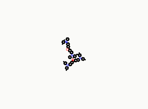 Cc1ccc(N(c2ccc(C)cc2)c2ccc3cc4c(cc3c2)oc2cc3cc(N(c5ccc(C)cc5)c5ccc(C)c(Cc6ccc(C)c(N(c7ccccc7)c7ccc8cc9c(cc8c7)oc7cc8cc(N(c%10ccccc%10)c%10cc(C)ccc%10C)ccc8cc79)c6)c5)ccc3cc24)cc1